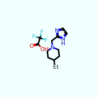 CCC1CCN(Cc2ncc[nH]2)CC1.O=C(O)C(F)(F)F